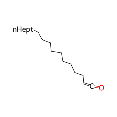 CCCCCCCCCCCCCCCCC=C=O